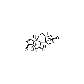 C[C@]12CCC(=O)C[C@@H]1CC[C@@H]1[C@@H]2C(=O)C[C@]2(C)C(=O)C=C[C@@H]12